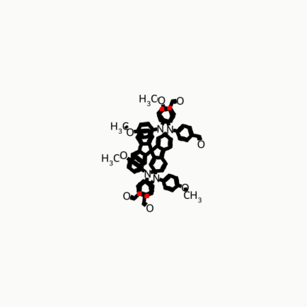 COc1ccc(N(c2ccc(C=O)cc2)C2(N(c3ccc(C=O)cc3)c3ccc(OC)cc3)C=CC3=C4C=CC(N(c5ccc(C=O)cc5)c5ccc(OC)cc5)(N(c5ccc(C=O)cc5)c5ccc(OC)cc5)C=C4C4(C3=C2)c2ccccc2-c2ccccc24)cc1